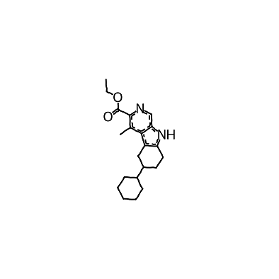 CCOC(=O)c1ncc2[nH]c3c(c2c1C)CC(C1CCCCC1)CC3